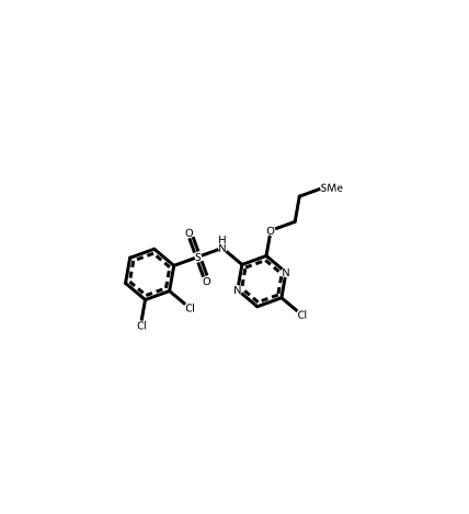 CSCCOc1nc(Cl)cnc1NS(=O)(=O)c1cccc(Cl)c1Cl